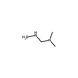 BNCN(C)C